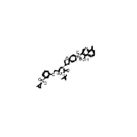 Cc1cccc2c(O)c(S(=O)(=O)N3CCC4(CC3)C[C@@H](N(C[C@H](O)COc3cccc(S(=O)(=O)C5CC5)c3)C(=O)OC(C)(C)C)CO4)cnc12